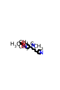 CN(C)C(CCCc1ccncc1)C1CCN(OC(=O)C(C)(C)C)CC1